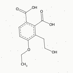 CCOc1ccc(C(=O)O)c(C(=O)O)c1CCO